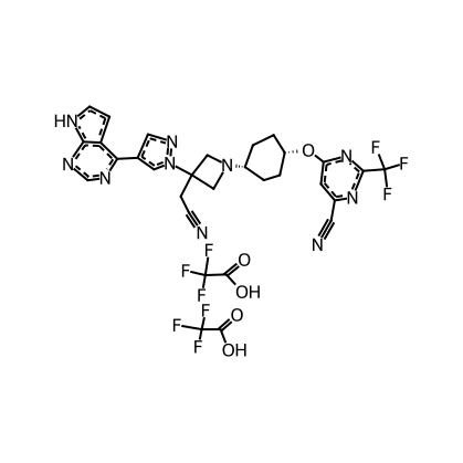 N#CCC1(n2cc(-c3ncnc4[nH]ccc34)cn2)CN([C@H]2CC[C@@H](Oc3cc(C#N)nc(C(F)(F)F)n3)CC2)C1.O=C(O)C(F)(F)F.O=C(O)C(F)(F)F